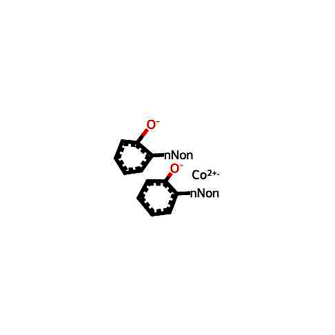 CCCCCCCCCc1ccccc1[O-].CCCCCCCCCc1ccccc1[O-].[Co+2]